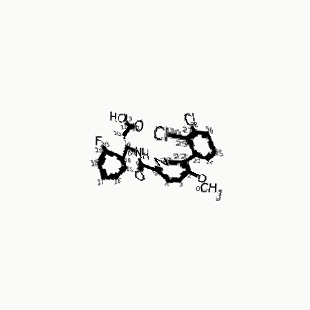 COc1ccc(C(=O)N[C@@H](CC(=O)O)c2ccccc2F)nc1-c1cccc(Cl)c1Cl